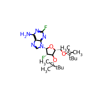 CC(C)(C)[Si](C)(C)OC[C@H]1O[C@@H](n2cnc3c(N)nc(F)nc32)[C@@H](F)C1O[Si](C)(C)C(C)(C)C